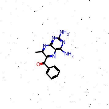 Cc1nc2nc(N)nc(N)c2nc1C(=O)c1ccccc1